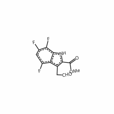 COC(=O)c1[nH]c2c(F)c(F)cc(F)c2c1CC=O